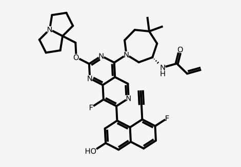 C#Cc1c(F)ccc2cc(O)cc(-c3ncc4c(N5CCC(C)(C)C[C@H](NC(=O)C=C)C5)nc(OCC56CCCN5CCC6)nc4c3F)c12